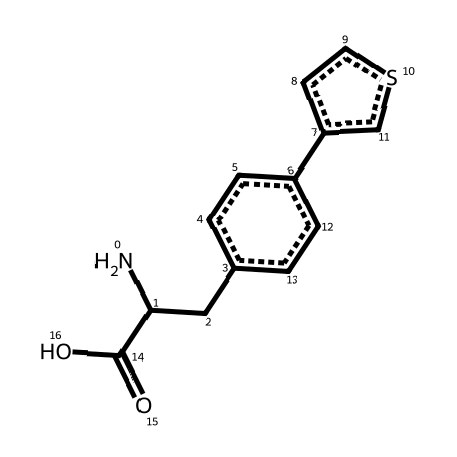 NC(Cc1ccc(-c2ccsc2)cc1)C(=O)O